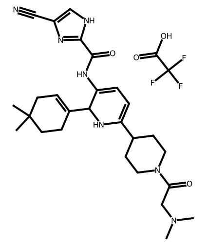 CN(C)CC(=O)N1CCC(C2=CC=C(NC(=O)c3nc(C#N)c[nH]3)C(C3=CCC(C)(C)CC3)N2)CC1.O=C(O)C(F)(F)F